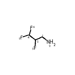 NCC(F)C(F)F